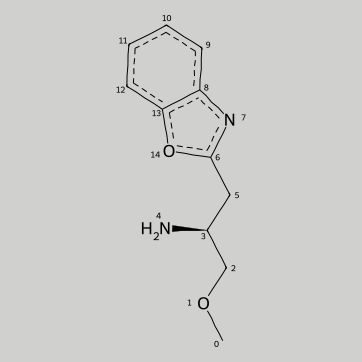 COC[C@@H](N)Cc1nc2ccccc2o1